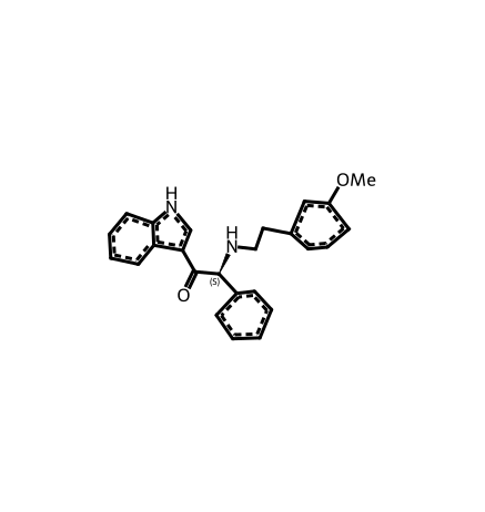 COc1cccc(CCN[C@H](C(=O)c2c[nH]c3ccccc23)c2ccccc2)c1